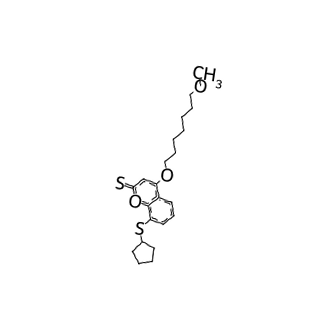 COCCCCCCCOc1cc(=S)oc2c(SC3CCCC3)cccc12